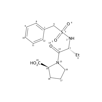 CC[C@@H](NS(=O)(=O)Cc1ccccc1)C(=O)N1CCC[C@H]1C(=O)O